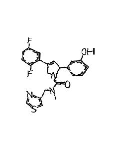 CN(Cc1cscn1)C(=O)N1CC(c2cc(F)ccc2F)=CC1c1cccc(O)c1